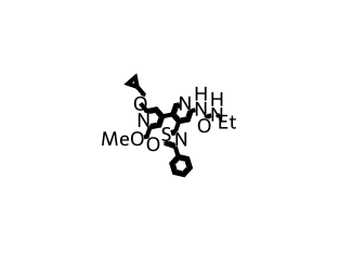 CCNC(=O)Nc1cc(-c2nc(-c3ccccc3)cs2)c(-c2cc(OCC3CC3)nc(C(=O)OC)c2)cn1